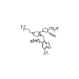 CNc1cc([C@@H]2CN(CCC(F)(F)F)CCN2Cc2c(OC)cc(C)c3[nH]ccc23)ccc1C(=O)O